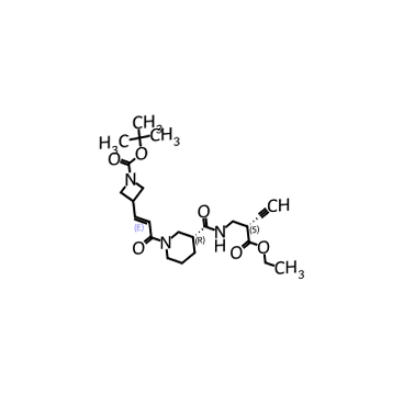 C#C[C@@H](CNC(=O)[C@@H]1CCCN(C(=O)/C=C/C2CN(C(=O)OC(C)(C)C)C2)C1)C(=O)OCC